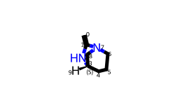 C=C1N[C@H]2CCCN1C2